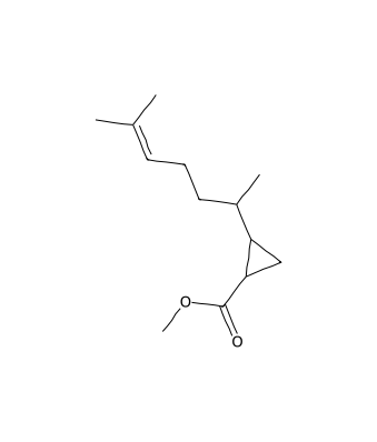 COC(=O)C1CC1C(C)CCC=C(C)C